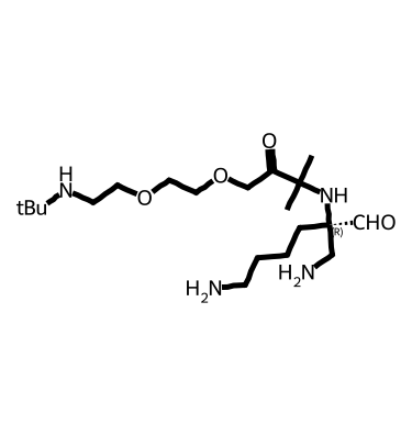 CC(C)(C)NCCOCCOCC(=O)C(C)(C)N[C@@](C=O)(CN)CCCCN